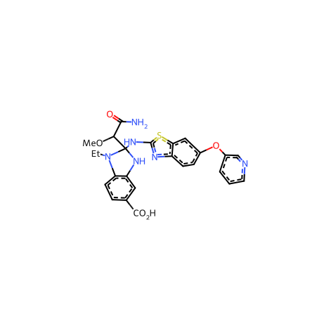 CCN1c2ccc(C(=O)O)cc2NC1(Nc1nc2ccc(Oc3cccnc3)cc2s1)C(OC)C(N)=O